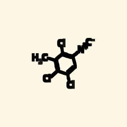 [C-]#[N+]c1cc(Cl)c(Cl)c(C)c1Cl